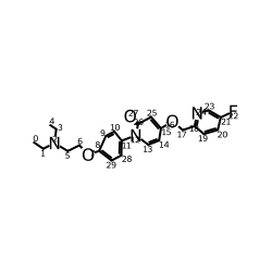 CCN(CC)CCOc1ccc(-n2ccc(OCc3ccc(F)cn3)cc2=O)cc1